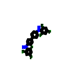 Fc1cc(F)c(Nc2ccc(-c3ccc(Nc4c(F)cc(F)cc4F)cc3)cc2)c(F)c1